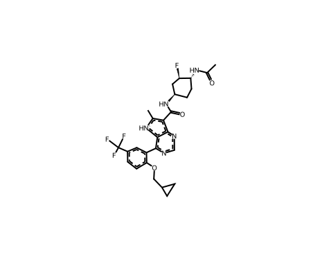 CC(=O)N[C@@H]1CC[C@@H](NC(=O)c2c(C)[nH]c3c(-c4cc(C(F)(F)F)ccc4OCC4CC4)ncnc23)C[C@H]1F